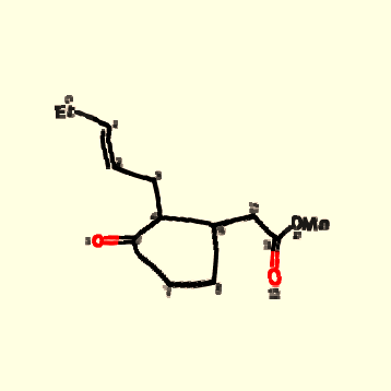 CC/C=C/CC1C(=O)CCC1CC(=O)OC